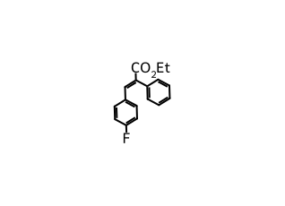 CCOC(=O)C(=Cc1ccc(F)cc1)c1ccccc1